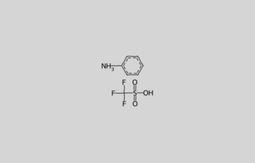 Cc1ccccc1.N.O=S(=O)(O)C(F)(F)F